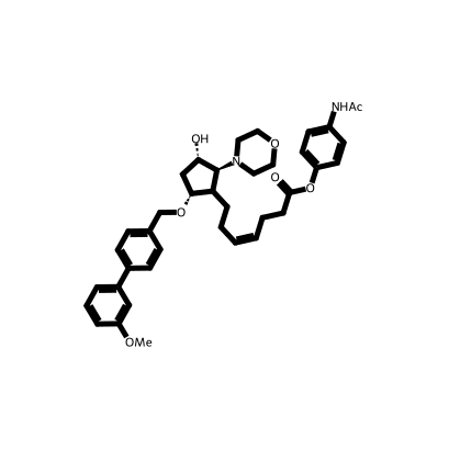 COc1cccc(-c2ccc(CO[C@@H]3C[C@H](O)[C@@H](N4CCOCC4)C3CC/C=C\CCC(=O)Oc3ccc(NC(C)=O)cc3)cc2)c1